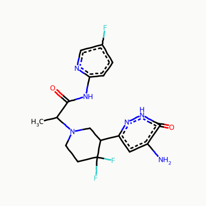 CC(C(=O)Nc1ccc(F)cn1)N1CCC(F)(F)C(c2cc(N)c(=O)[nH]n2)C1